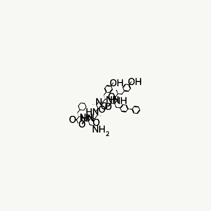 CC(=O)[C@H](CC1CCCCC1)NC(=O)[C@H](CCN)NC(=O)[C@@H](C)NC(=O)[C@H](C)N(C)C(=O)[C@H](Cc1ccc(O)cc1)NC(=O)[C@H](Cc1ccc(-c2ccccc2)cc1)NC(=O)[C@@H](C)Cc1ccc(O)cc1